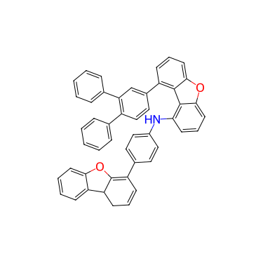 C1=CC(c2ccc(Nc3cccc4oc5cccc(-c6ccc(-c7ccccc7)c(-c7ccccc7)c6)c5c34)cc2)=C2Oc3ccccc3C2C1